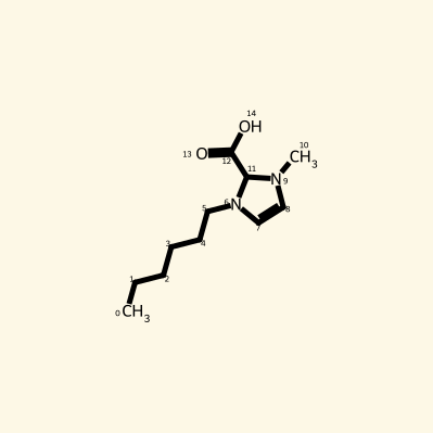 CCCCCCN1C=CN(C)C1C(=O)O